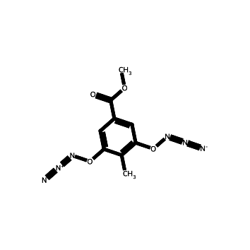 COC(=O)c1cc(ON=[N+]=[N-])c(C)c(ON=[N+]=[N-])c1